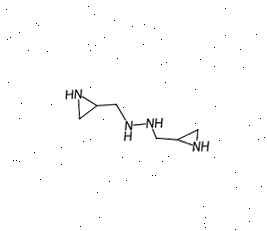 C(NNCC1CN1)C1CN1